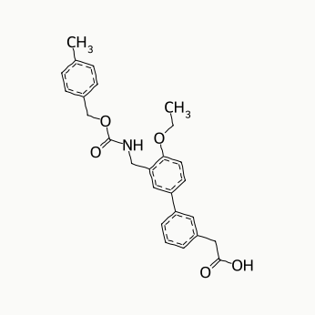 CCOc1ccc(-c2cccc(CC(=O)O)c2)cc1CNC(=O)OCc1ccc(C)cc1